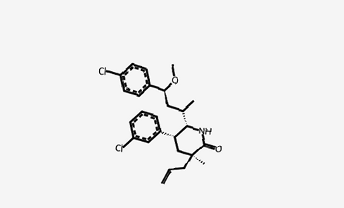 C=CC[C@@]1(C)C[C@H](c2cccc(Cl)c2)[C@H](C(C)C[C@H](OC)c2ccc(Cl)cc2)NC1=O